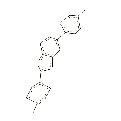 COc1ccc(-c2ccc3oc(-c4ccc(C)cc4)nc3c2)cc1